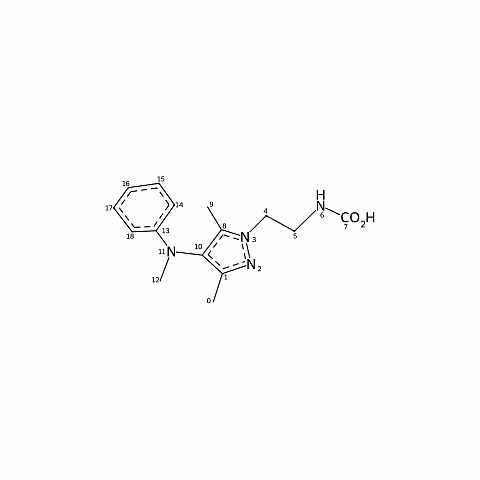 Cc1nn(CCNC(=O)O)c(C)c1N(C)c1ccccc1